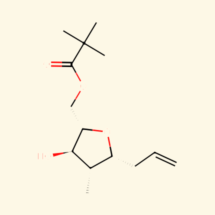 C=CC[C@H]1O[C@@H](COC(=O)C(C)(C)C)[C@H](O)[C@H]1C